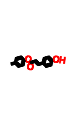 Cc1ccc(OC(=O)/C=C/c2ccc(O)cc2)cc1